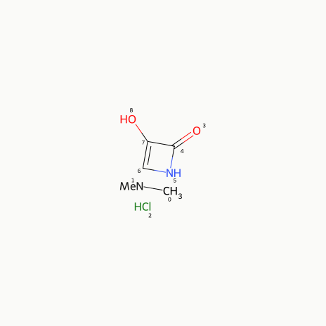 CNC.Cl.O=C1NC=C1O